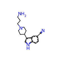 N#Cc1ccc2[nH]cc(C3CCN(CCCN)CC3)c2c1